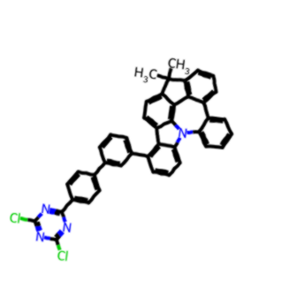 CC1(C)c2cccc3c2-c2c1ccc1c4c(-c5cccc(-c6ccc(-c7nc(Cl)nc(Cl)n7)cc6)c5)cccc4n(c21)-c1ccccc1-3